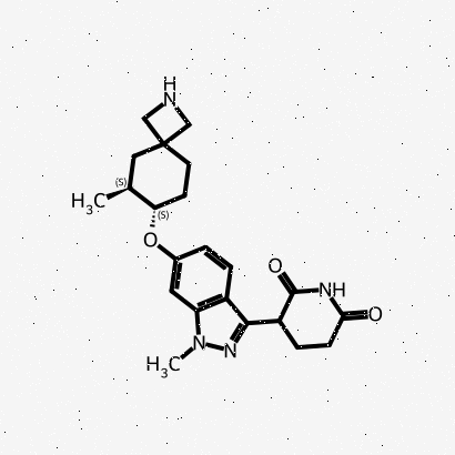 C[C@H]1CC2(CC[C@@H]1Oc1ccc3c(C4CCC(=O)NC4=O)nn(C)c3c1)CNC2